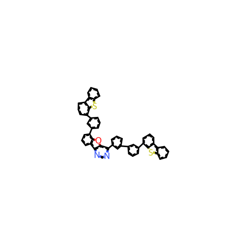 c1cc(-c2cccc(-c3cccc4c3sc3ccccc34)c2)cc(-c2ncnc3c2oc2c(-c4cccc(-c5cccc6c5sc5ccccc56)c4)cccc23)c1